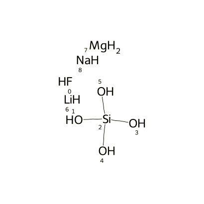 F.O[Si](O)(O)O.[LiH].[MgH2].[NaH]